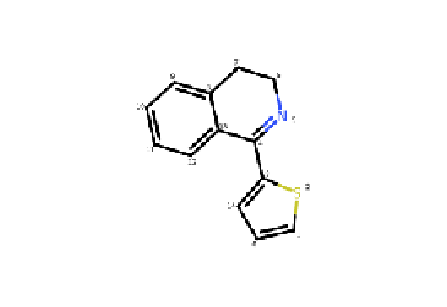 c1csc(C2=NCCc3ccccc32)c1